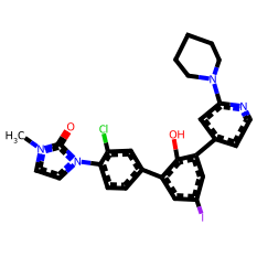 Cn1ccn(-c2ccc(-c3cc(I)cc(-c4ccnc(N5CCCCC5)c4)c3O)cc2Cl)c1=O